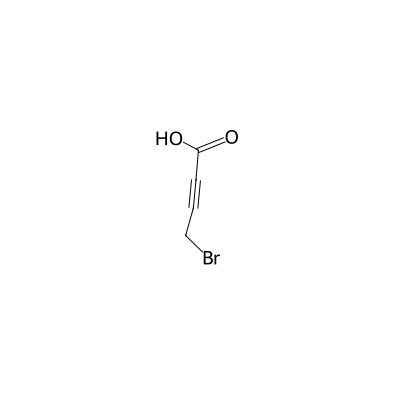 O=C(O)C#CCBr